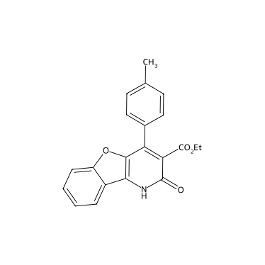 CCOC(=O)c1c(-c2ccc(C)cc2)c2oc3ccccc3c2[nH]c1=O